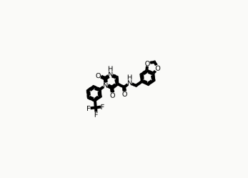 O=C(NCc1ccc2c(c1)OCO2)c1c[nH]c(=O)n(-c2cccc(C(F)(F)F)c2)c1=O